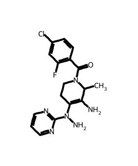 CC1C(N)=C(N(N)c2ncccn2)CCN1C(=O)c1ccc(Cl)cc1F